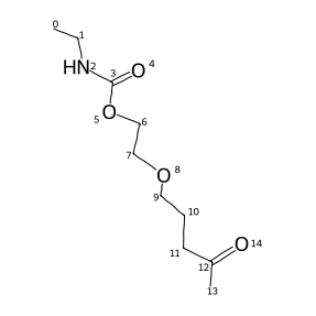 CCNC(=O)OCCOCCCC(C)=O